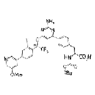 COc1cncc(-c2ccc([C@H](Oc3cc(-c4ccc(CC(NC(=O)OC(C)(C)C)C(=O)O)cc4)nc(N)n3)C(F)(F)F)c(F)c2)c1